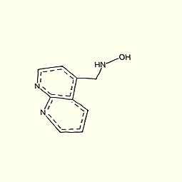 ONCc1ccnc2ncccc12